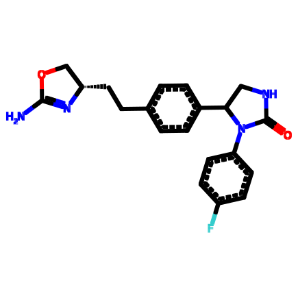 NC1=N[C@@H](CCc2ccc(C3CNC(=O)N3c3ccc(F)cc3)cc2)CO1